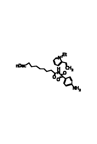 C=Cc1cccc[n+]1CC.CCCCCCCCCCCCCCCCCC(=O)NS(=O)(=O)c1ccc(N)cc1